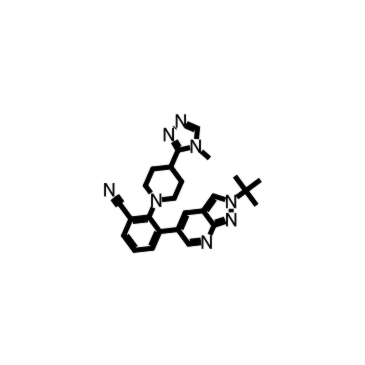 Cn1cnnc1C1CCN(c2c(C#N)cccc2-c2cnc3nn(C(C)(C)C)cc3c2)CC1